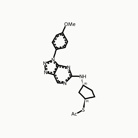 COc1ccc(-n2nnc3cnc(N[C@@H]4CC[C@@H](SC(C)=O)C4)nc32)cc1